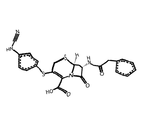 N#CNc1ccc(SC2=C(C(=O)O)N3C(=O)[C@@H](NC(=O)Cc4ccccc4)[C@@H]3SC2)cc1